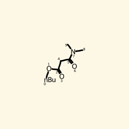 CCCCOC(=O)CC(=O)N(C)C